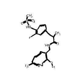 CCOc1nc(C(F)(F)F)ccc1CNC(=O)C(C)c1ccc(NS(C)(=O)=O)c(F)c1